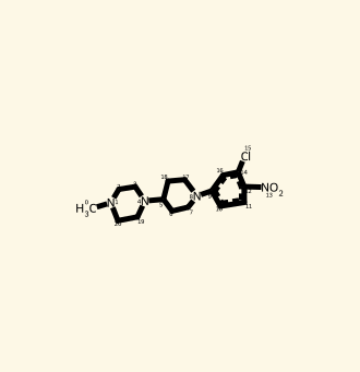 CN1CCN(C2CCN(c3ccc([N+](=O)[O-])c(Cl)c3)CC2)CC1